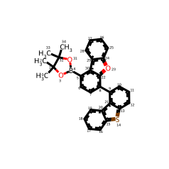 CC1(C)OB(c2ccc(-c3cccc4sc5ccccc5c34)c3oc4ccccc4c23)OC1(C)C